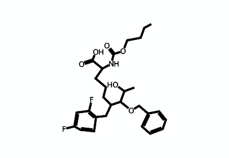 CCCCOC(=O)NC(CCCC(Cc1ccc(F)cc1F)C(OCc1ccccc1)C(C)O)C(=O)O